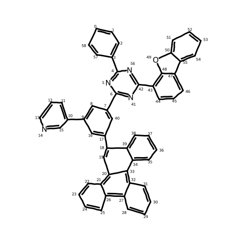 c1ccc(-c2nc(-c3cc(-c4cccnc4)cc(-c4cc5c6ccccc6c6ccccc6c5c5ccccc45)c3)nc(-c3cccc4c3oc3ccccc34)n2)cc1